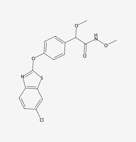 CONC(=O)C(OC)c1ccc(Oc2nc3ccc(Cl)cc3s2)cc1